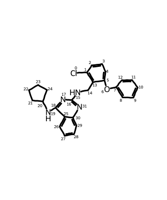 Clc1cccc(Oc2ccccc2)c1CNc1nc(NC2CCCC2)c2ccccc2n1